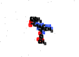 C[C@@H]1OC(=O)c2ccc(Nc3cc4c(C(C)(C)N)cnc(O[C@H]5CC[C@@H](S(C)(=O)=O)C5)c4cn3)nc2[C@H]1C